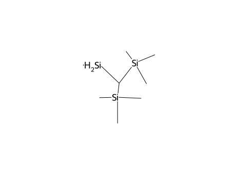 C[Si](C)(C)C([SiH2])[Si](C)(C)C